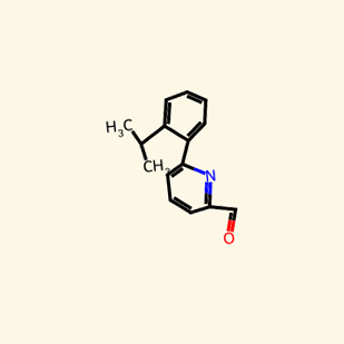 CC(C)c1ccccc1-c1cccc(C=O)n1